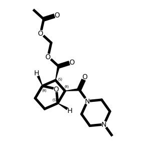 CC(=O)OCOC(=O)[C@H]1[C@@H](C(=O)N2CCN(C)CC2)[C@@H]2CC[C@H]1O2